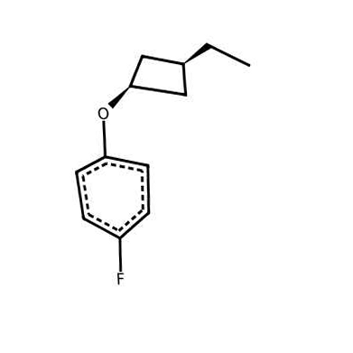 CC[C@H]1C[C@@H](Oc2ccc(F)cc2)C1